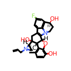 C=CCN1C2C[C@]34c5c(C)ccc(O)c5O[C@H]3c3c(c5cc(F)cc6c5n3CC[C@@H]6O)C[C@@]4(O)[C@@H]21